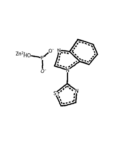 [O-]P([O-])O.[Zn+2].c1ccc2c(c1)ncn2-c1nccs1